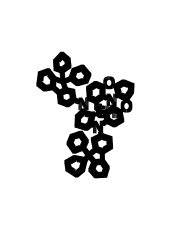 CS12c3c4cccc3N(c3ccc5c(c3)C(c3ccccc3)(c3ccccc3)c3ccccc3-5)c3ccc5c(c31)N1c3c(cccc3O5)Oc3ccc(c2c31)N4c1ccc2c(c1)C(c1ccccc1)(c1ccccc1)c1ccccc1-2